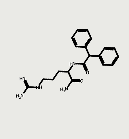 N=C(N)NCCCC(NC(=O)C(c1ccccc1)c1ccccc1)C(N)=O